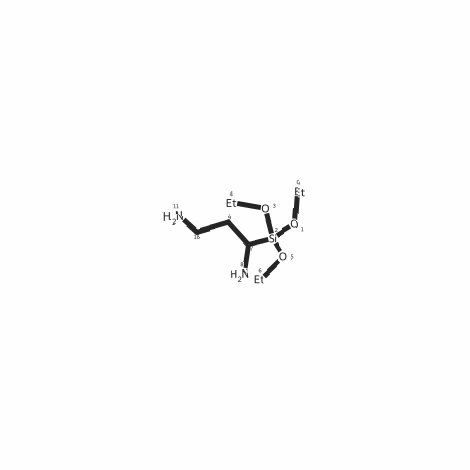 CCO[Si](OCC)(OCC)C(N)CCN